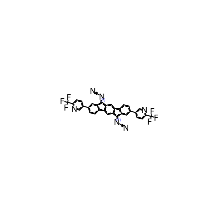 N#C/N=c1\c2cc(-c3ccc(C(F)(F)F)nc3)ccc2c2cc3/c(=N/C#N)c4cc(-c5ccc(C(F)(F)F)nc5)ccc4c3cc12